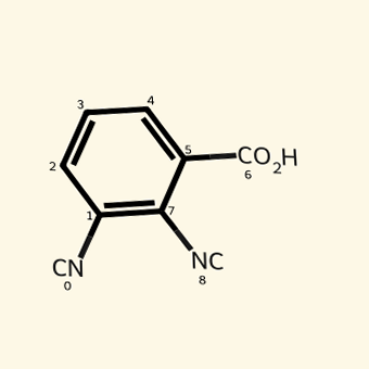 [C-]#[N+]c1cccc(C(=O)O)c1[N+]#[C-]